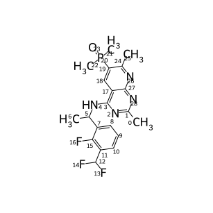 Cc1nc(NC(C)c2cccc(C(F)F)c2F)c2cc(P(C)(C)=O)c(C)nc2n1